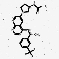 CC(=O)N[C@@H]1CCN(c2cnc3ncnc(N[C@H](C)c4cccc(C(F)(F)F)c4)c3c2)C1